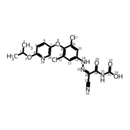 CC(C)Oc1ccc(Oc2c(Cl)cc(NN=C(C#N)C(=O)NC(=O)O)cc2Cl)cn1